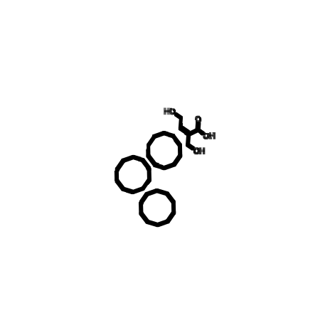 C1CCCCCCCCC1.C1CCCCCCCCC1.C1CCCCCCCCC1.O=C(O)C(=CCO)CO